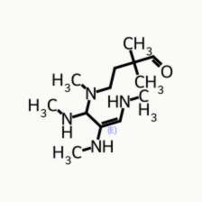 CN/C=C(/NC)C(NC)N(C)CCC(C)(C)C=O